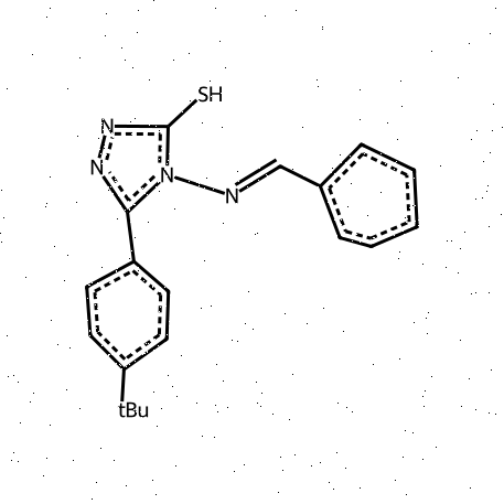 CC(C)(C)c1ccc(-c2nnc(S)n2/N=C/c2ccccc2)cc1